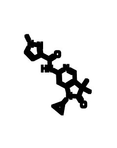 Cn1ccc(C(=O)Nc2cc3c(cn2)C(C)(C)C(=O)N3C2CC2)n1